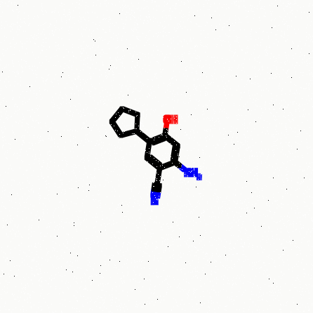 N#Cc1cc(C2CCCC2)c(O)cc1N